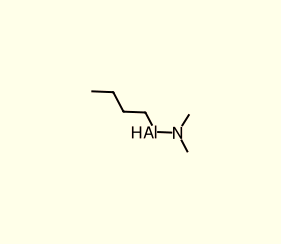 CCC[CH2][AlH][N](C)C